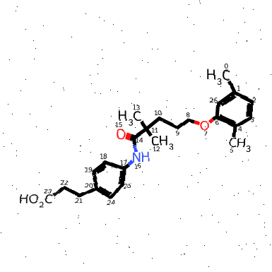 Cc1ccc(C)c(OCCCC(C)(C)C(=O)Nc2ccc(CCC(=O)O)cc2)c1